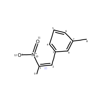 C/C(=C/c1cccc(C)c1)[N+](=O)[O-]